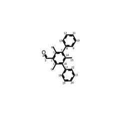 Cc1c([C]=O)c(C)c(-c2ccccc2)c(C)c1-c1ccccc1